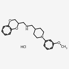 COc1cccc(N2CCC(CNCC3COc4ccccc4O3)CC2)c1.Cl